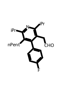 CCCCCc1c(C(C)C)nc(C(C)C)c(CC=O)c1-c1ccc(F)cc1